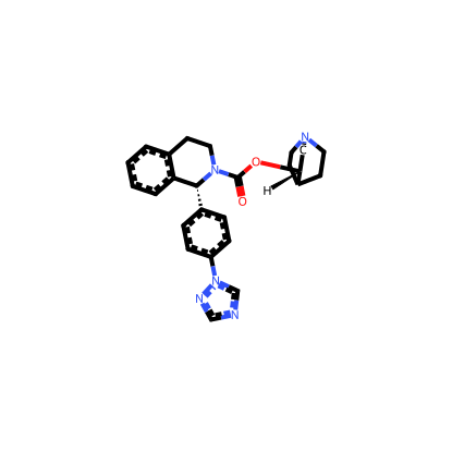 O=C(O[C@@H]1CN2CCC1CC2)N1CCc2ccccc2[C@H]1c1ccc(-n2cncn2)cc1